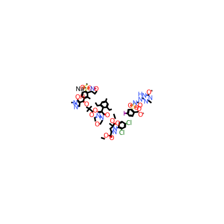 CCOC(=O)C1=NN(c2ccc(Cl)cc2Cl)C(C)(C(=O)OCC)C1.CCc1cc(C)cc(CC)c1-c1c(OC(=O)C(C)(C)C)n2n(c1=O)CCOCC2.COC(=O)c1ccc(I)cc1S(=O)(=O)[N-]C(=O)Nc1nc(C)nc(OC)n1.Cc1c(C(=O)c2cnn(C)c2O)ccc(S(C)(=O)=O)c1C1=NOCC1.[Na+]